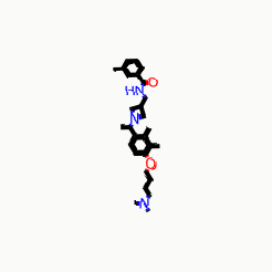 Cc1cccc(C(=O)NCC2CN(C(C)c3ccc(OCCCCN(C)C)c(C)c3C)C2)c1